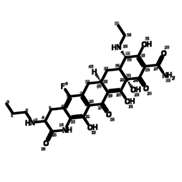 CCCNC1Cc2c(F)c3c(c(O)c2NC1=O)C(=O)C1=C(O)[C@]2(O)C(=O)C(C(N)=O)=C(O)[C@@H](NCC)C2C[C@@H]1C3